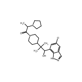 CC(C(=O)N1CCC(C(C)(C)C(O)c2cc(Cl)cc3cn[nH]c23)CC1)N1CCCC1